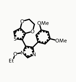 CCOn1cnc(-c2cc(OC)cc(OC)c2)c1-c1scc2c1OCCO2